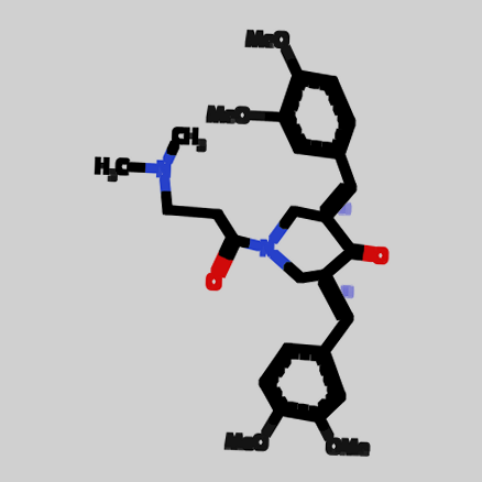 COc1ccc(/C=C2\CN(C(=O)CCN(C)C)C/C(=C\c3ccc(OC)c(OC)c3)C2=O)cc1OC